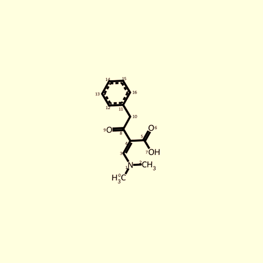 CN(C)C=C(C(=O)O)C(=O)Cc1ccccc1